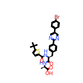 C[C@@H](NC(=O)[C@H](Cc1ccc(-c2ncc(-c3ccc(Br)cc3)cn2)cc1)NC(=O)c1ccc(C(C)(C)C)s1)C(=O)O